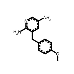 COc1ccc(Cc2cc(N)cnc2N)cc1